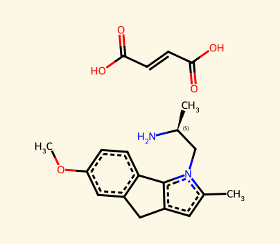 COc1ccc2c(c1)Cc1cc(C)n(C[C@H](C)N)c1-2.O=C(O)C=CC(=O)O